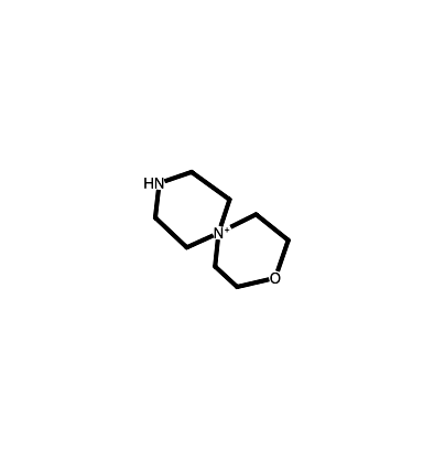 C1C[N+]2(CCN1)CCOCC2